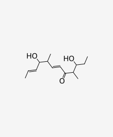 C/C=C/C(O)C(C)/C=C/C(=O)C(C)C(O)CC